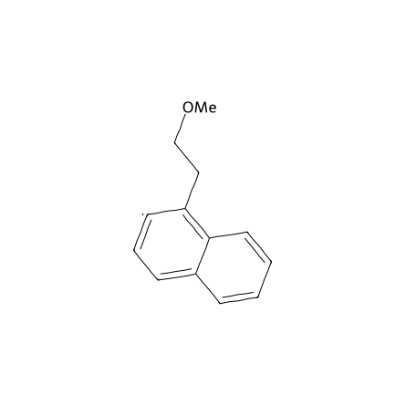 COCCc1[c]ccc2ccccc12